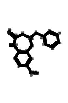 COc1ccc2c(c1)CN(Cc1ccccc1)CC(=O)N2